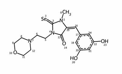 CN1C(=[Se])N(CCN2CCOCC2)C(=O)C1=Cc1cc(O)cc(O)c1